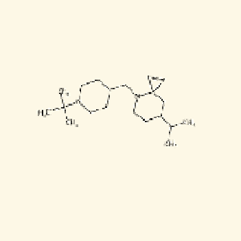 CC(C)C1CCN(CC2CCN(C(C)(C)C)CC2)C2(CC2)C1